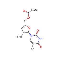 COC(=O)OC[C@@H]1C[C@@H](OC(C)=O)[C@H](n2cc(C(C)=O)c(=O)[nH]c2=O)O1